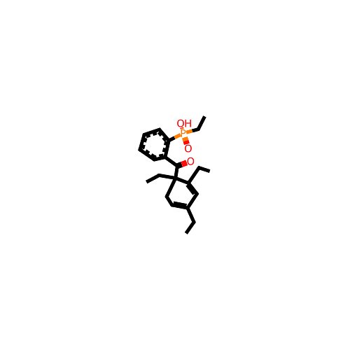 CCC1=CCC(CC)(C(=O)c2ccccc2P(=O)(O)CC)C(CC)=C1